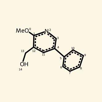 COc1ncc(-c2ccccc2)cc1CO